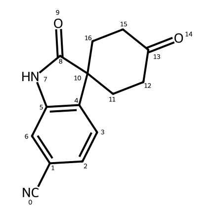 N#Cc1ccc2c(c1)NC(=O)C21CCC(=O)CC1